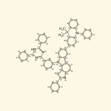 CC1(C)c2ccccc2N(c2ccccc2)c2ccc(-c3ccc4c(c3)c3ccc5nc(-c6ccccc6)oc5c3n4-c3cccc(C4=NC(c5ccccc5)NC(c5ccccc5)=N4)c3)cc21